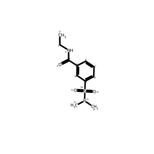 CCNC(=O)c1cccc(S(=O)(=O)N(C)C)c1